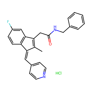 CC1=C(CC(=O)NCc2ccccc2)c2cc(F)ccc2C1=Cc1ccncc1.Cl